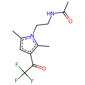 CC(=O)NCCn1c(C)cc(C(=O)C(F)(F)F)c1C